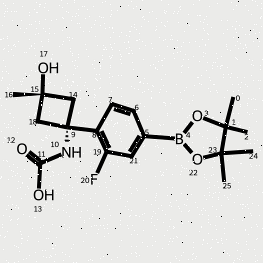 CC1(C)OB(c2ccc([C@]3(NC(=O)O)C[C@@](C)(O)C3)c(F)c2)OC1(C)C